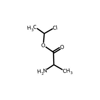 CC(Cl)OC(=O)C(C)N